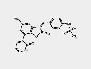 CC(C)(C)c1cc2c(c(-c3ccc[nH]c3=O)c1)OC(=O)/C2=C\c1ccc(NS(C)(=O)=O)cc1